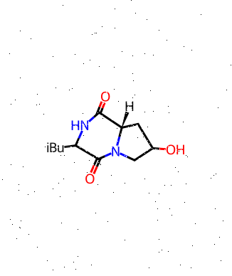 CCC(C)C1NC(=O)[C@@H]2CC(O)CN2C1=O